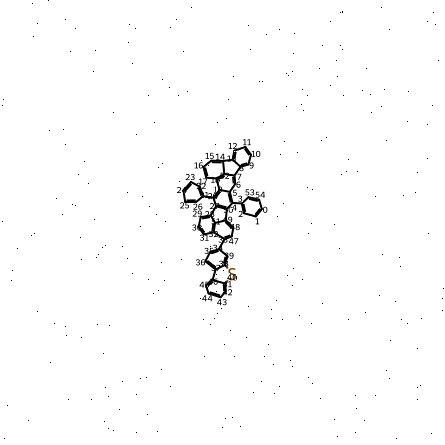 c1ccc(-c2c3cc4c5ccccc5c5cccc(c3c(-c3ccccc3)c3c6cccc7c(-c8ccc9c(c8)sc8ccccc89)ccc(c23)c76)c54)cc1